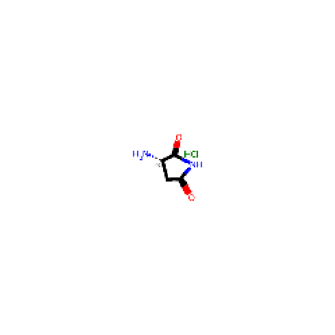 Cl.N[C@H]1CC(=O)NC1=O